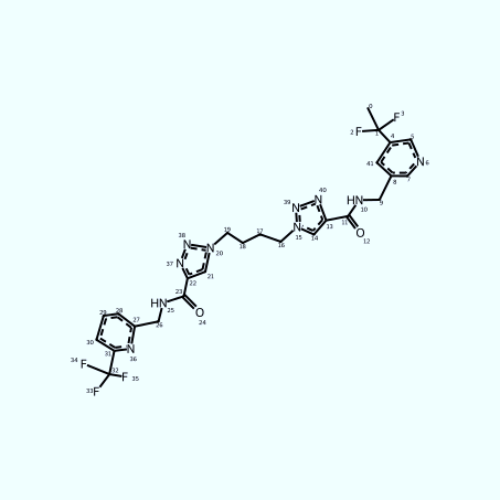 CC(F)(F)c1cncc(CNC(=O)c2cn(CCCCn3cc(C(=O)NCc4cccc(C(F)(F)F)n4)nn3)nn2)c1